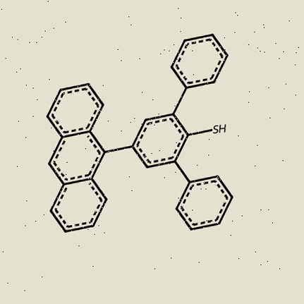 Sc1c(-c2ccccc2)cc(-c2c3ccccc3cc3ccccc23)cc1-c1ccccc1